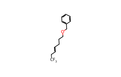 FC(F)(F)C/C=C/CCCOCc1ccccc1